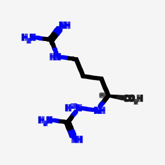 N=C(N)NCCC[C@H](N[15NH]C(=N)N)C(=O)O